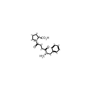 CN(Cc1ccccc1)C(=O)CCC(=O)N1CCC[C@H]1C(=O)O